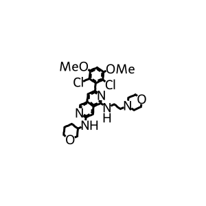 COc1cc(OC)c(Cl)c(-c2cc3cnc(NC4CCCOC4)cc3c(NCCN3CCOCC3)n2)c1Cl